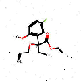 C=CCO[C@@](CC)(C(=O)OCC)c1cc(F)ccc1OC